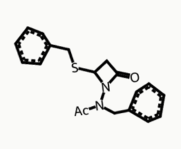 CC(=O)N(Cc1ccccc1)N1C(=O)CC1SCc1ccccc1